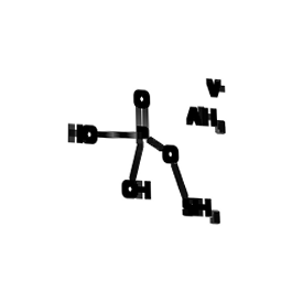 O=P(O)(O)O[SiH3].[AlH3].[V]